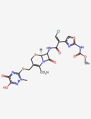 Cn1nc(O)c(=O)nc1SCC1=C(C(=O)O)N2C(=O)C(NC(=O)C(=CCl)c3csc(NC(=O)OC(C)(C)C)n3)[C@@H]2SC1